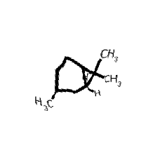 C[C@H]1CC[C@H]2[C@@H](C1)C2(C)C